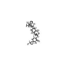 CCOc1ccc(CN2CCc3cc(C(C)NC(C)=O)ccc3C2)c(C)c1